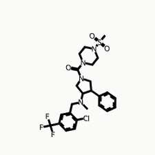 CN(Cc1cc(C(F)(F)F)ccc1Cl)C1CN(C(=O)N2CCN(S(C)(=O)=O)CC2)CC1c1ccccc1